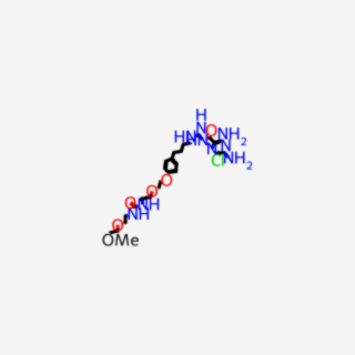 COCCOCCNC(=O)NCCOCCOc1ccc(CCCCNC(=N)NC(=O)c2nc(Cl)c(N)nc2N)cc1